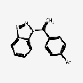 C=C(c1ccc(C(C)=O)cc1)n1nnc2ccccc21